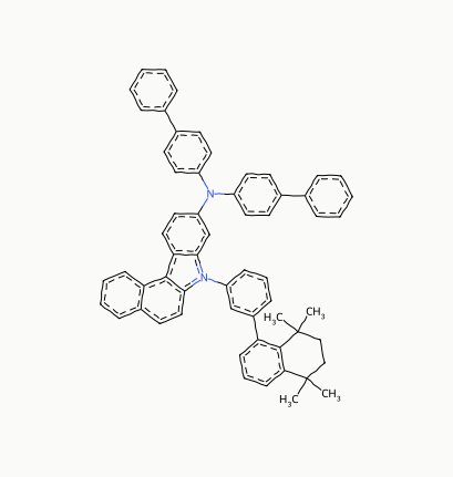 CC1(C)CCC(C)(C)c2c(-c3cccc(-n4c5cc(N(c6ccc(-c7ccccc7)cc6)c6ccc(-c7ccccc7)cc6)ccc5c5c6ccccc6ccc54)c3)cccc21